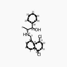 CC(NCc1cccc2c(Cl)ccc(Cl)c12)C(O)c1ccccc1